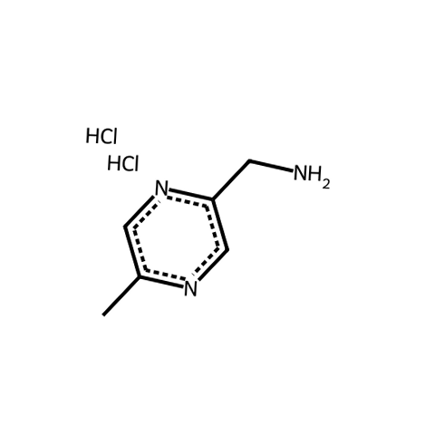 Cc1cnc(CN)cn1.Cl.Cl